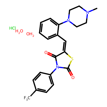 CN1CCN(c2ccccc2/C=C2/SC(=O)N(c3ccc(C(F)(F)F)cc3)C2=O)CC1.Cl.O.O